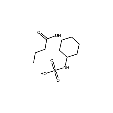 CCCC(=O)O.O=S(=O)(O)NC1CCCCC1